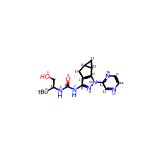 CC(C)(C)C(CO)NC(=O)Nc1nn(-c2cnccn2)c2c1CC1CC21